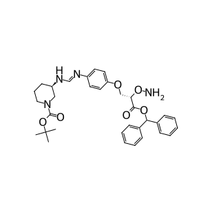 CC(C)(C)OC(=O)N1CCC[C@@H](NC=Nc2ccc(OC[C@H](ON)C(=O)OC(c3ccccc3)c3ccccc3)cc2)C1